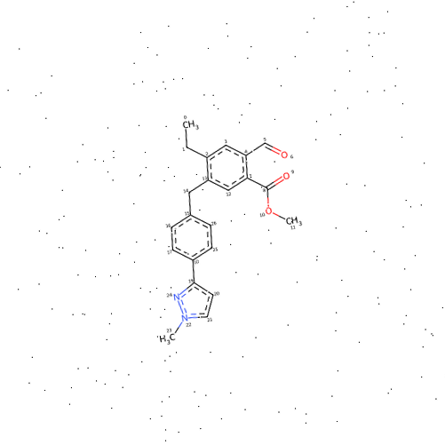 CCc1cc(C=O)c(C(=O)OC)cc1Cc1ccc(-c2ccn(C)n2)cc1